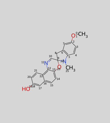 COc1ccc2c(c1)CC1(C=Nc3c(ccc4cc(O)ccc34)O1)N2C